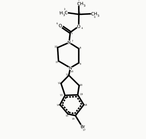 CC(C)(C)OC(=O)N1CCN(C2Cc3ccc(Br)cc3C2)CC1